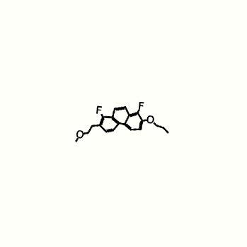 CCCOc1ccc2c(ccc3c(F)c(CCOC)ccc32)c1F